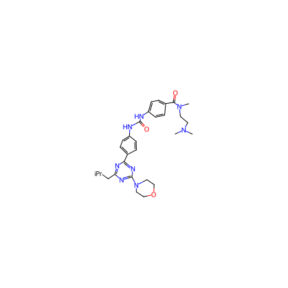 CC(C)Cc1nc(-c2ccc(NC(=O)Nc3ccc(C(=O)N(C)CCN(C)C)cc3)cc2)nc(N2CCOCC2)n1